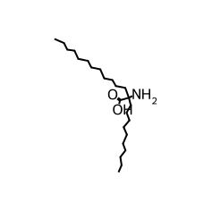 CCCCCCCCCCCCC(N)(CCCCCCCCCC)C(=O)O